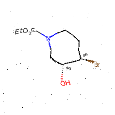 CCOC(=O)N1CC[C@@H](Br)[C@H](O)C1